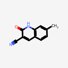 Cc1c[c]c2cc(C#N)c(=O)[nH]c2c1